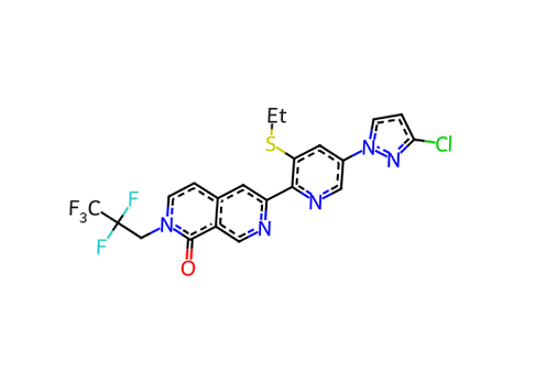 CCSc1cc(-n2ccc(Cl)n2)cnc1-c1cc2ccn(CC(F)(F)C(F)(F)F)c(=O)c2cn1